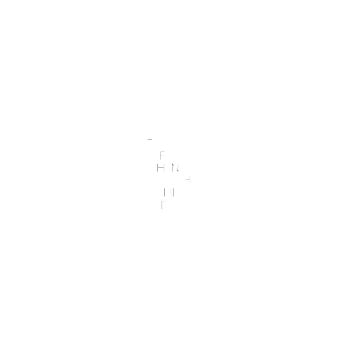 F.N.[B+3].[F-].[F-].[F-]